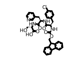 O=C(N[C@H](Cc1ccc(Cl)cc1)C(=O)N[C@H](Cc1cccnc1)C(=O)N[C@@H](CO)C(=O)O)OCC1c2ccccc2-c2ccccc21